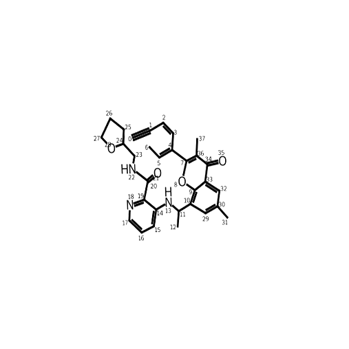 C#C/C=C\C(=C/C)c1oc2c(C(C)Nc3cccnc3C(=O)NCC3CCCO3)cc(C)cc2c(=O)c1C